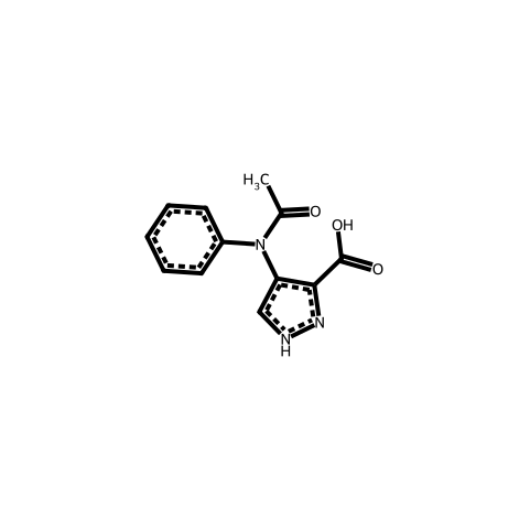 CC(=O)N(c1ccccc1)c1c[nH]nc1C(=O)O